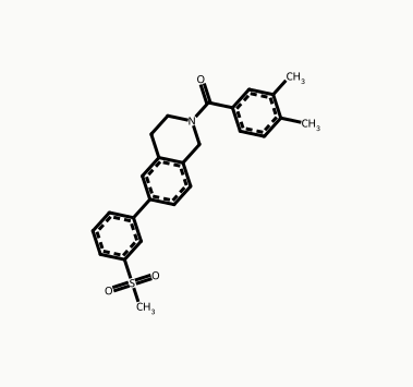 Cc1ccc(C(=O)N2CCc3cc(-c4cccc(S(C)(=O)=O)c4)ccc3C2)cc1C